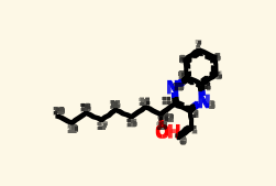 C=Cc1nc2ccccc2nc1[C@@H](O)CCCCCCC